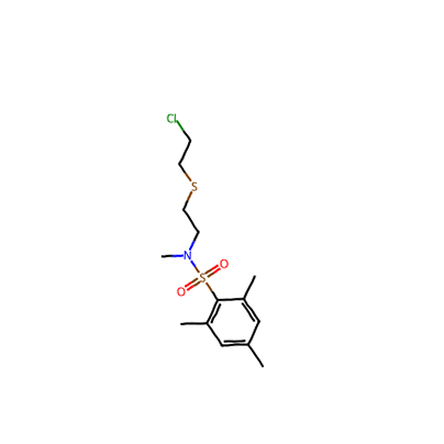 Cc1cc(C)c(S(=O)(=O)N(C)CCSCCCl)c(C)c1